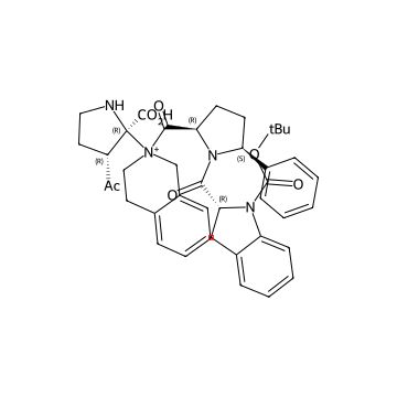 CC(=O)[C@@H]1CCN[C@@]1(C(=O)O)[N+]1(C(=O)[C@H]2CC[C@@H](c3ccccc3)N2C(=O)[C@H]2Cc3ccccc3N2C(=O)OC(C)(C)C)CCc2ccccc2C1